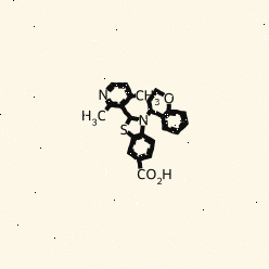 Cc1ccnc(C)c1C1Sc2cc(C(=O)O)ccc2N1C1CCOc2ccccc21